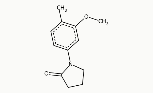 COc1cc(N2CCCC2=O)ccc1C